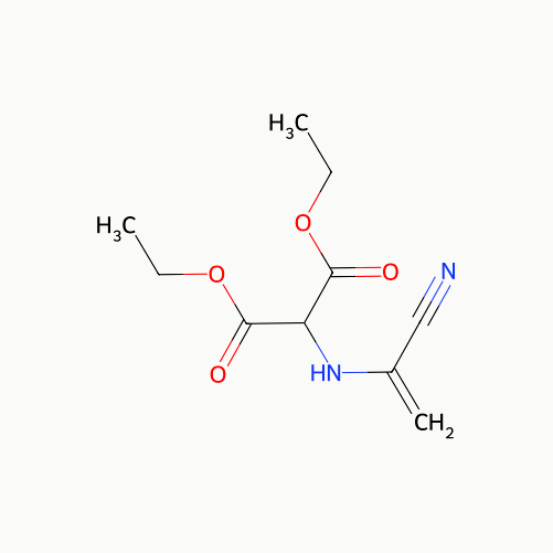 C=C(C#N)NC(C(=O)OCC)C(=O)OCC